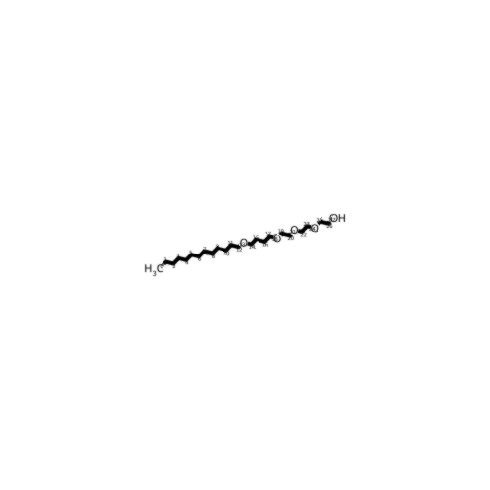 CCCCCCCCCCCCCOCCCCOCCOCCOCCO